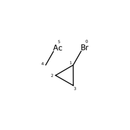 BrC1CC1.CC(C)=O